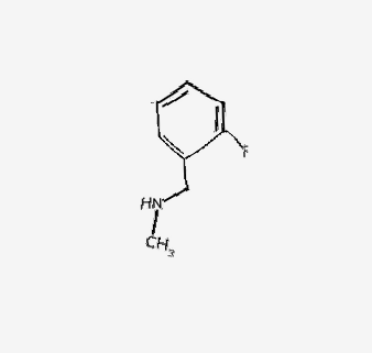 CNCc1c[c]ccc1F